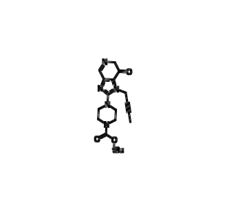 CC#CCn1c(N2CCN(C(=O)OC(C)(C)C)CC2)nc2c1C(=O)CN=C2